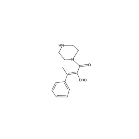 CC(=C([C]=O)C(=O)N1CCNCC1)c1ccccc1